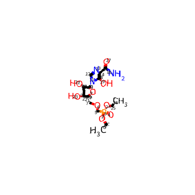 CCOP(=O)(COC[C@H]1O[C@@H](n2cnc(C(N)=O)c2O)[C@H](O)[C@@H]1O)OCC